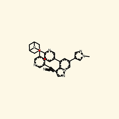 C#Cc1cncc(CN2C3CC2CN(c2ccc(-c4cc(-c5cnn(C)c5)cn5ncc(C#N)c45)cn2)C3)c1